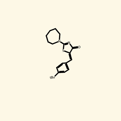 CC(C)(C)c1ccc(C=C2SC(N3CCCCCC3)=NC2=O)cc1